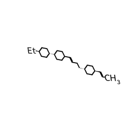 C/C=C/[C@H]1CC[C@H](CC/C=C/C2CCC([C@H]3CC[C@H](CC)CC3)CC2)CC1